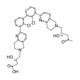 CC(=O)C[C@H](O)CN1CCc2nc(-c3cccc(-c4cccc(-c5ccc6c(n5)CCN(C[C@@H](O)CC(=O)O)C6)c4Cl)c3Cl)ccc2C1